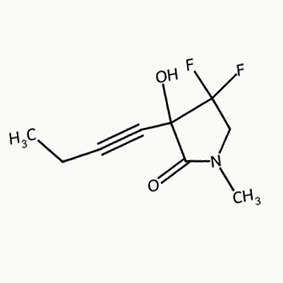 CCC#CC1(O)C(=O)N(C)CC1(F)F